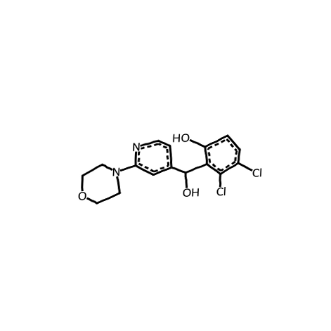 Oc1ccc(Cl)c(Cl)c1C(O)c1ccnc(N2CCOCC2)c1